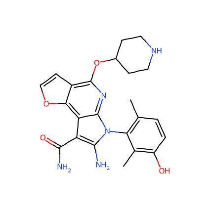 Cc1ccc(O)c(C)c1-n1c(N)c(C(N)=O)c2c3occc3c(OC3CCNCC3)nc21